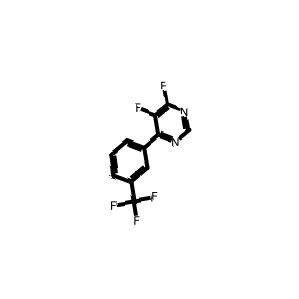 Fc1ncnc(-c2cc[c]c(C(F)(F)F)c2)c1F